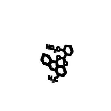 Cc1cccc2c(OC(=O)C3CC=CCC3C(=O)O)c3ccccc3cc12